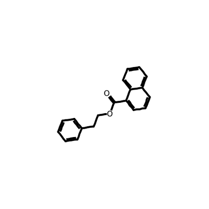 O=C(OCCc1ccccc1)c1cccc2ccccc12